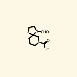 CC(C)C(=O)N1CCCC2(C1)SCCN2C=O